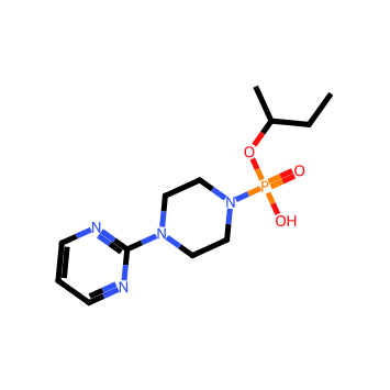 CCC(C)OP(=O)(O)N1CCN(c2ncccn2)CC1